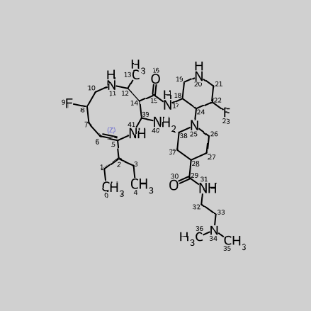 CCC(CC)/C1=C/CC(F)CNC(C)C(C(=O)NC2CNCC(F)C2N2CCC(C(=O)NCCN(C)C)CC2)C(N)N1